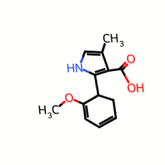 COC1=CC=CCC1c1[nH]cc(C)c1C(=O)O